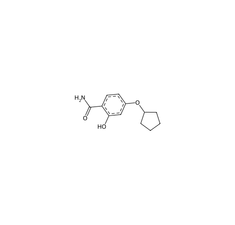 NC(=O)c1ccc(OC2CCCC2)cc1O